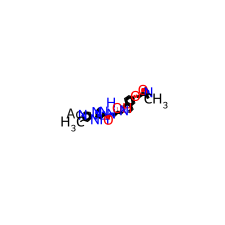 CC(=O)N1CC[C@H](Nc2cc(C(=O)NC[C@H](O)CN3CCc4cc(OCc5ocnc5C)ccc4C3)ncn2)C[C@H]1C